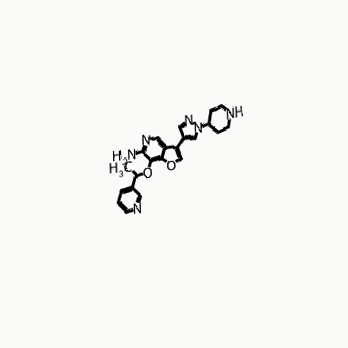 CC(Oc1c(N)ncc2c(-c3cnn(C4CCNCC4)c3)coc12)c1cccnc1